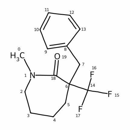 CN1CCCCC(Cc2ccccc2)(C(F)(F)F)C1=O